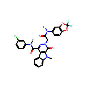 CCN(C(=O)Cn1nc(C(=O)N(CC)c2cccc(Cl)c2)c2c3ccccc3n(C)c2c1=O)c1ccc2c(c1)OC(F)(F)O2